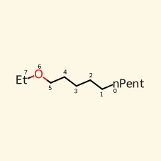 [CH2]CCCCCCCCCOCC